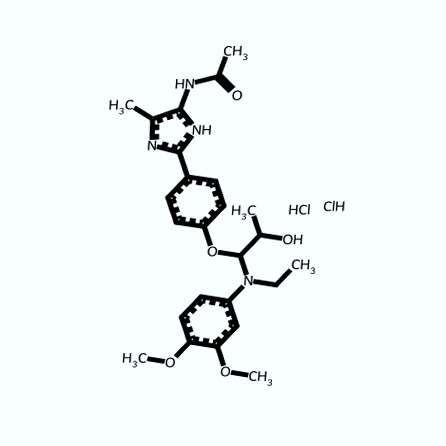 CCN(c1ccc(OC)c(OC)c1)C(Oc1ccc(-c2nc(C)c(NC(C)=O)[nH]2)cc1)C(C)O.Cl.Cl